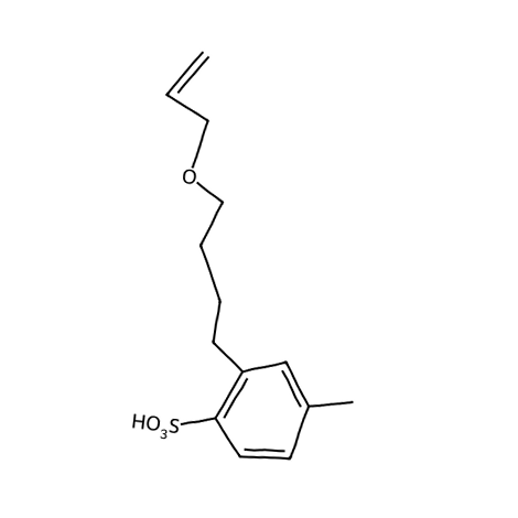 C=CCOCCCCc1cc(C)ccc1S(=O)(=O)O